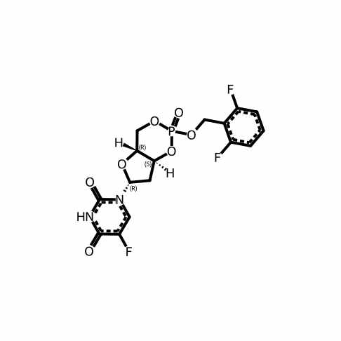 O=c1[nH]c(=O)n([C@H]2C[C@@H]3OP(=O)(OCc4c(F)cccc4F)OC[C@H]3O2)cc1F